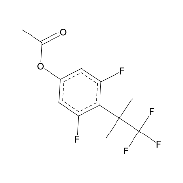 CC(=O)Oc1cc(F)c(C(C)(C)C(F)(F)F)c(F)c1